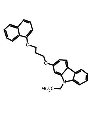 O=C(O)Cn1c2ccccc2c2ccc(OCCCOc3cccc4ccccc34)cc21